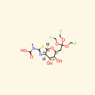 CN(C(=O)O)C1=N[C@@H]2[C@@H](O)[C@H](O)[C@H](CC(OCF)(OCF)OCF)O[C@@H]2S1